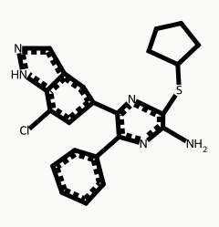 Nc1nc(-c2ccccc2)c(-c2cc(Cl)c3[nH]ncc3c2)nc1SC1CCCC1